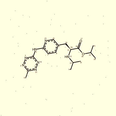 Cc1nnc(Nc2ccc(C[C@H](NC(C)C)C(=O)OC(C)C)cn2)nn1